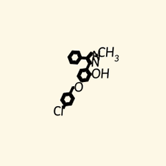 Cn1cc(-c2ccccc2)c(-c2ccc(OCc3ccc(Cl)cc3)cc2O)n1